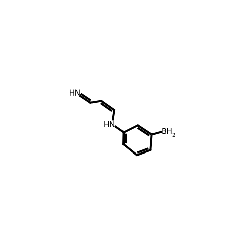 Bc1cccc(N/C=C\C=N)c1